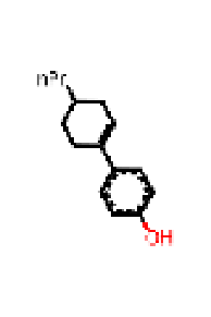 CCCC1CC=C(c2ccc(O)cc2)CC1